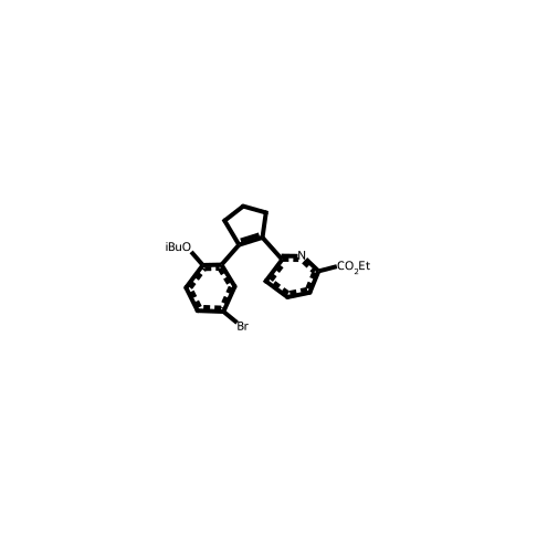 CCOC(=O)c1cccc(C2=C(c3cc(Br)ccc3OCC(C)C)CCC2)n1